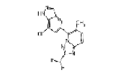 Cc1ccc2nc(C(F)F)nn2c1-c1cc(Cl)c2[nH]ncc2c1